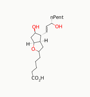 CCCCC[C@H](O)/C=C/[C@@H]1[C@H]2CC(CCCCC(=O)O)O[C@H]2C[C@H]1O